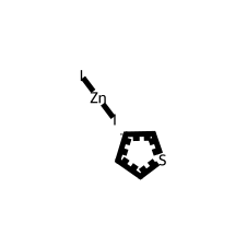 [I][Zn][I].[c]1ccsc1